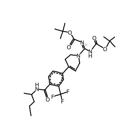 CCCC(C)NC(=O)c1ccc(C2=CCN(/C(=N\C(=O)OC(C)(C)C)NC(=O)OC(C)(C)C)CC2)cc1C(F)(F)F